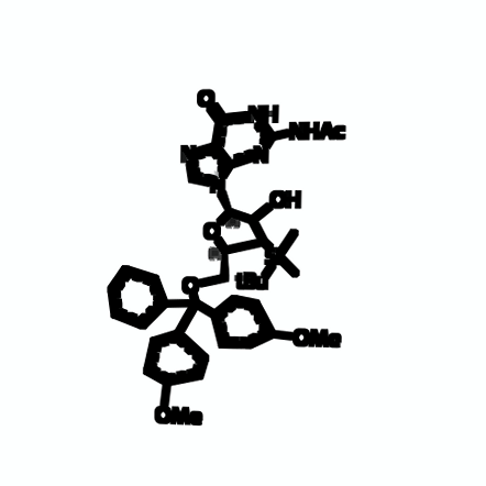 COc1ccc(C(OC[C@H]2O[C@@H](n3cnc4c(=O)[nH]c(NC(C)=O)nc43)C(O)C2[Si](C)(C)C(C)(C)C)(c2ccccc2)c2ccc(OC)cc2)cc1